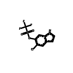 O=S(=O)(Oc1cc2[nH]ccc2cc1Cl)C(F)(F)F